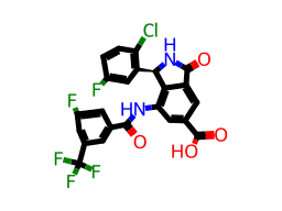 O=C(O)c1cc(NC(=O)c2cc(F)cc(C(F)(F)F)c2)c2c(c1)C(=O)N[C@@H]2c1cc(F)ccc1Cl